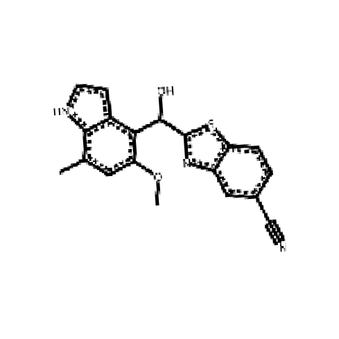 COc1cc(C)c2[nH]ccc2c1C(O)c1nc2cc(C#N)ccc2s1